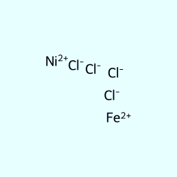 [Cl-].[Cl-].[Cl-].[Cl-].[Fe+2].[Ni+2]